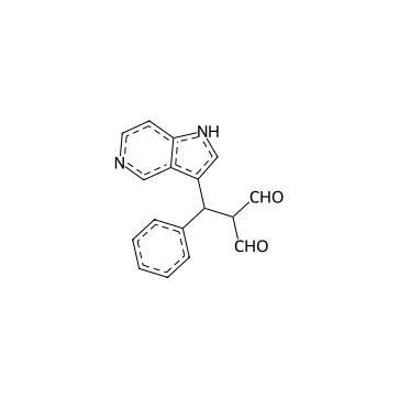 O=CC(C=O)C(c1ccccc1)c1c[nH]c2ccncc12